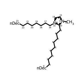 CCCCCCCCCCCCCCCCCCCc1n(C)cc[n+]1CCCCCCCCCCCCCCCCC